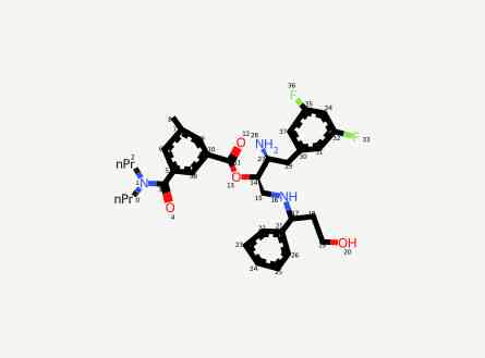 CCCN(CCC)C(=O)c1cc(C)cc(C(=O)O[C@H](CNC(CCO)c2ccccc2)[C@@H](N)Cc2cc(F)cc(F)c2)c1